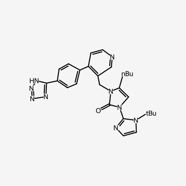 CCCCc1cn(-c2nccn2C(C)(C)C)c(=O)n1Cc1cnccc1-c1ccc(-c2nnn[nH]2)cc1